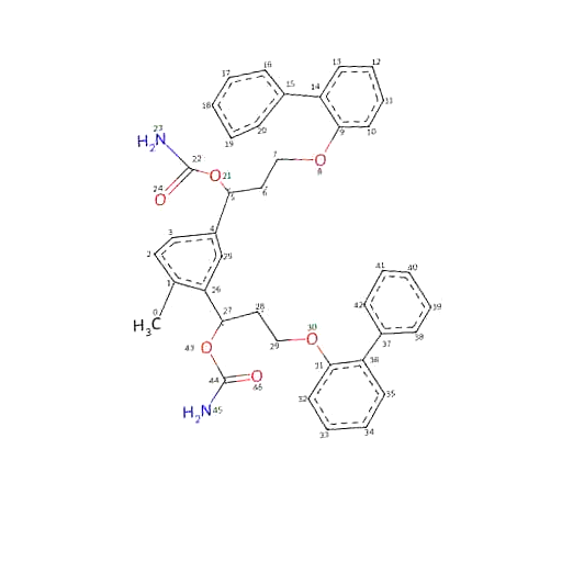 Cc1ccc([C]([CH]COc2ccccc2-c2ccccc2)OC(N)=O)cc1[C]([CH]COc1ccccc1-c1ccccc1)OC(N)=O